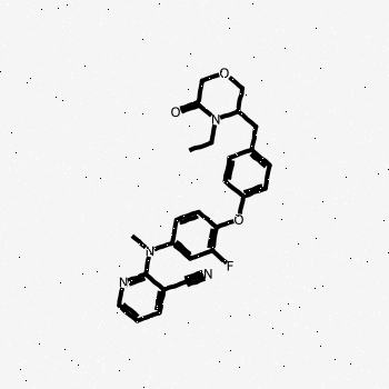 CCN1C(=O)COCC1Cc1ccc(Oc2ccc(N(C)c3ncccc3C#N)cc2F)cc1